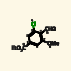 CCOC(=O)c1cc(Cl)c(C=O)c(OC)c1